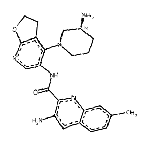 Cc1ccc2cc(N)c(C(=O)Nc3cnc4c(c3N3CCC[C@H](N)C3)CCO4)nc2c1